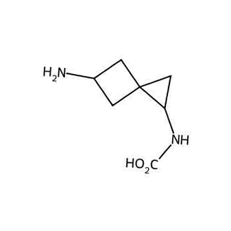 NC1CC2(C1)CC2NC(=O)O